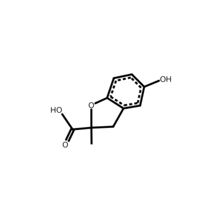 CC1(C(=O)O)Cc2cc(O)ccc2O1